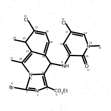 CCOC(=O)c1nc(Br)n2c1C(Nc1cc(Cl)cn(C)c1=O)C1=CC=C(Cl)C(C)C1=C2C